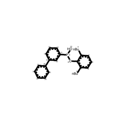 CCCCc1cccc(CCCC)c1OP(O)c1cccc(-c2ccccc2)c1